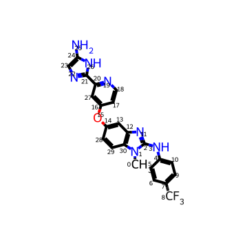 Cn1c(Nc2ccc(C(F)(F)F)cc2)nc2cc(Oc3ccnc(-c4ncc(N)[nH]4)c3)ccc21